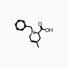 CC1=CCN(Cc2ccccc2)C(C(=O)O)C1